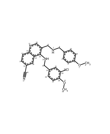 COc1ccc(CNCc2cnc3ccc(C#N)cc3c2NCc2ccc(OC)c(Cl)c2)cc1